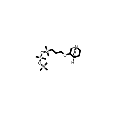 C[Si](C)(C)O[Si](C)(C)O[Si](C)(C)CCCOC1C[N@]2CC[C@H]1CC2